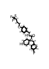 O=C(NCc1ccc(OCCCC(F)(F)F)cc1)N(Cc1ccc(F)cn1)C1CCNCC1